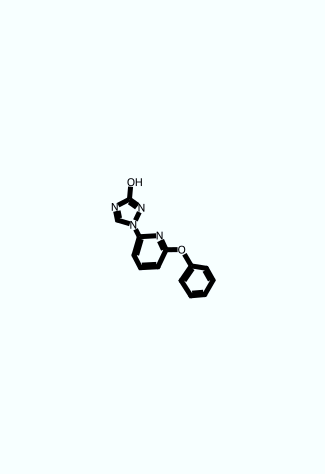 Oc1ncn(-c2cccc(Oc3ccccc3)n2)n1